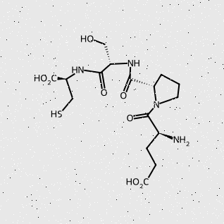 N[C@@H](CCC(=O)O)C(=O)N1CCC[C@H]1C(=O)N[C@@H](CO)C(=O)N[C@@H](CS)C(=O)O